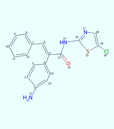 Nc1ccc(/C(=C\c2ccccc2)C(=O)Nc2ncc(Cl)s2)cc1